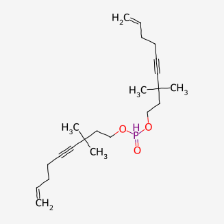 C=CCCC#CC(C)(C)CCO[PH](=O)OCCC(C)(C)C#CCCC=C